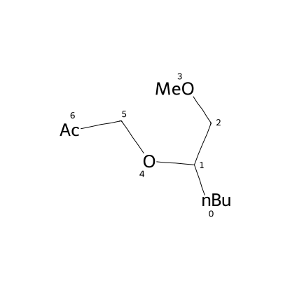 CCCCC(COC)OCC(C)=O